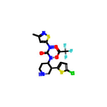 Cc1cc(NC(=O)N(OC(=O)C(F)(F)F)C2CCNCC2c2ccc(Cl)s2)sn1